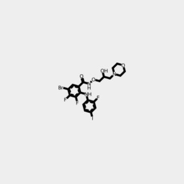 O=C(NOCC(O)CN1CCOCC1)c1cc(Br)c(F)c(F)c1Nc1ccc(I)cc1F